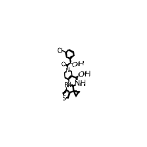 O=C([C@H](O)c1cccc(Cl)c1)N1CCC2=C(C1)C(O)NC(C1(c3cscc3Br)CC1)=N2